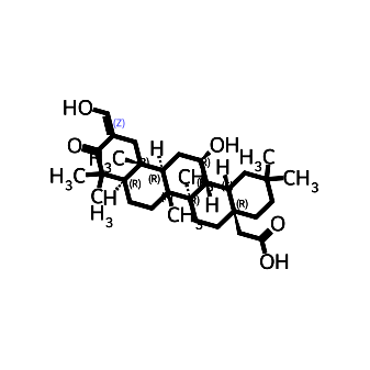 CC1(C)CC[C@]2(CC(=O)O)CC[C@]3(C)[C@H]([C@H](O)C[C@@H]4[C@@]5(C)C/C(=C/O)C(=O)C(C)(C)[C@@H]5CC[C@]43C)[C@@H]2C1